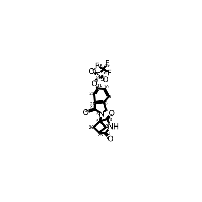 O=C1NC(=O)C2(N3Cc4ccc(OS(=O)(=O)C(F)(F)F)cc4C3=O)CC1C2